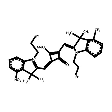 COC1=C(/C=C2\N(CCC(C)C)c3cccc(C(F)(F)F)c3C2(C)C)C(=O)/C1=C/C1=[N+](CCC(C)C)c2cccc([N+](=O)[O-])c2C1(C)C